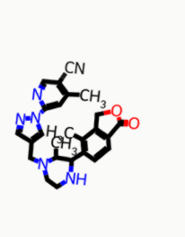 Cc1cc(-n2cc(CN3CCNC(c4ccc5c(c4C)COC5=O)C3C)cn2)ncc1C#N